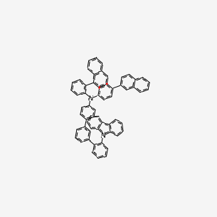 c1cc(-c2ccc(N(c3ccc(-c4ccc5ccccc5c4)cc3)c3ccccc3-c3cccc4ccccc34)cc2)cc(-c2ccccc2-n2c3ccccc3c3ccccc32)c1